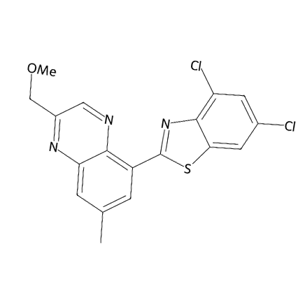 COCc1cnc2c(-c3nc4c(Cl)cc(Cl)cc4s3)cc(C)cc2n1